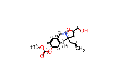 C=CCC1(CC(C)C)CC(CO)ON1Cc1ccc(OC(=O)OC(C)(C)C)cc1